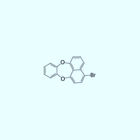 Brc1ccc2c3c(cccc13)Oc1ccccc1O2